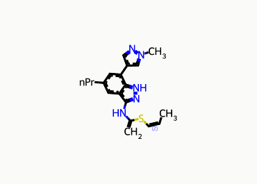 C=C(Nc1n[nH]c2c(-c3cnn(C)c3)cc(CCC)cc12)S/C=C\C